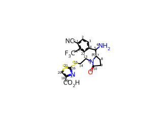 N#Cc1ccc(C(N)[C@H]2CCC(=O)N2CCSc2nc(C(=O)O)cs2)cc1C(F)(F)F